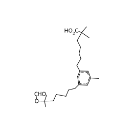 Cc1cc(CCCCCC(C)(C)OC=O)cc(CCCCCC(C)(C)C(=O)O)c1